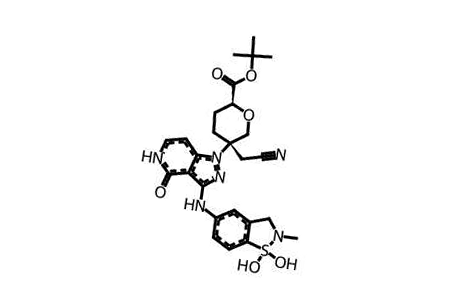 CN1Cc2cc(Nc3nn([C@]4(CC#N)CC[C@@H](C(=O)OC(C)(C)C)OC4)c4cc[nH]c(=O)c34)ccc2S1(O)O